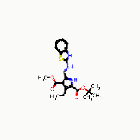 CCc1c(C(=O)OC(C)(C)C)[nH]c(CNc2nc3ccccc3s2)c1C(=O)OC